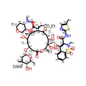 CCOC(=O)CCC(=O)O[C@H]1[C@H](O[C@@H]2[C@@H](C)[C@H](O[C@H]3C[C@@](C)(OC)[C@@H](O)[C@H](C)O3)[C@@H](C)C(=O)O[C@H](CC)[C@@](C)(O)[C@H](O)[C@@H](C)C(=O)[C@H](C)C[C@@]2(C)O)O[C@H](C)C[C@@H]1N(C)C.Cc1cnc(NC(=O)C2=C(O)c3ccccc3S(=O)(=O)N2C)s1